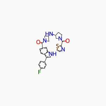 O=C(c1ccc2c(-c3ccc(F)cc3)c[nH]c2c1)N1CC(N[C@H]2CCN(C(=O)c3nccs3)C2)C1